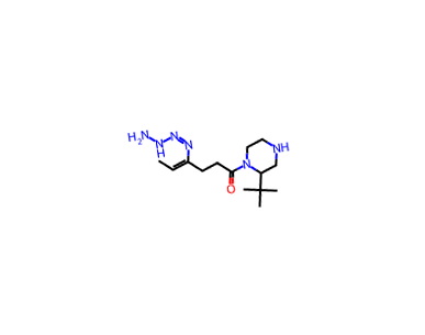 C/C=C(CCC(=O)N1CCNCC1C(C)(C)C)\N=N/NN